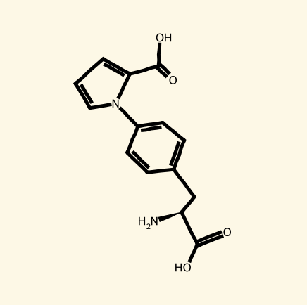 N[C@@H](Cc1ccc(-n2cccc2C(=O)O)cc1)C(=O)O